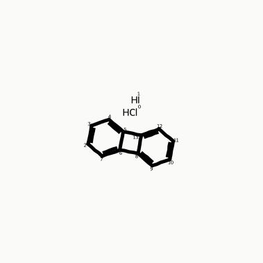 Cl.I.c1ccc2c(c1)-c1ccccc1-2